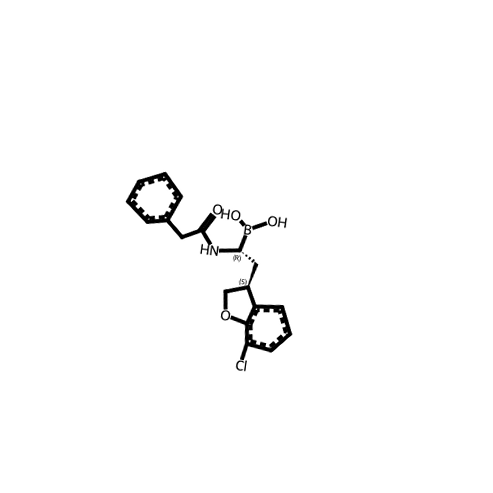 O=C(Cc1ccccc1)N[C@@H](C[C@@H]1COc2c(Cl)cccc21)B(O)O